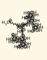 CC(=O)CCCCCNC(=O)CN(CC(=O)NCCO[C@@H]1O[C@H](CO[C@H]2O[C@H](CO)[C@@H](O)[C@H](O)[C@@H]2O)[C@@H](O)[C@H](O[C@H]2O[C@H](CO)[C@@H](O)[C@H](O)[C@@H]2O)[C@H]1O)CC(=O)NCCO[C@@H]1O[C@H](CO[C@H]2O[C@H](CO)[C@@H](O)[C@H](O)[C@@H]2O)[C@@H](O)[C@H](O[C@H]2O[C@H](CO)[C@@H](O)[C@H](O)[C@@H]2O)[C@H]1O